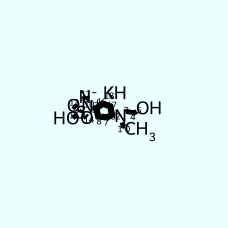 CCN(CCO)c1ccc([N+](=[N-])S(=O)(=O)O)cc1.[KH]